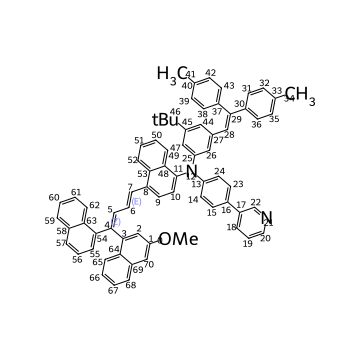 COc1cc(/C(=C\C=C\c2ccc(N(c3ccc(-c4cccnc4)cc3)c3cc(C=C(c4ccc(C)cc4)c4ccc(C)cc4)cc(C(C)(C)C)c3)c3ccccc23)c2cccc3ccccc23)c2ccccc2c1